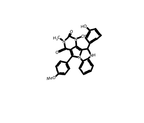 COc1ccc(-c2c3c(=O)n(C)c(=O)n(C)c3c3n2-c2ccccc2NC3c2cccc(O)c2)cc1